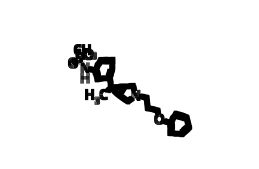 CC1(c2cccc(NS(C)(=O)=O)c2)C2CN(CCCOc3ccccc3)CC21